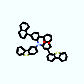 c1ccc(-c2ccc(-c3cccc4ccccc34)cc2N(c2cccc(-c3cccc4c3sc3ccccc34)c2)c2ccc3sc4ccccc4c3c2)cc1